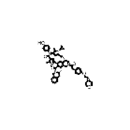 Cc1c(C(=O)N(c2ccc(O)cc2)c2cc(C#N)n(C3CC3)c2C)cc(-c2cc3c(cc2C(=O)N2Cc4ccccc4C[C@H]2C)CN(C(=O)Cc2ccc(OCCN4CCOCC4)cc2)CC3)n1C